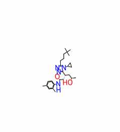 Cc1ccc(NC(=O)C[C@@H](C[C@@H](C)O)c2nnc(CCCC(C)(C)C)n2C2CC2)c(C)c1